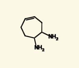 NC1CC=CCCC1N